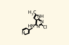 Cc1cc2c(NCc3ccncc3)nc(Cl)nc2[nH]1